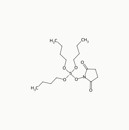 CCCC[O][Ti]([O]CCCC)([O]CCCC)[O]N1C(=O)CCC1=O